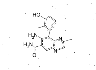 Cc1cnc2cc(C(N)=O)c(N)c(-c3cccc(O)c3C)c2n1